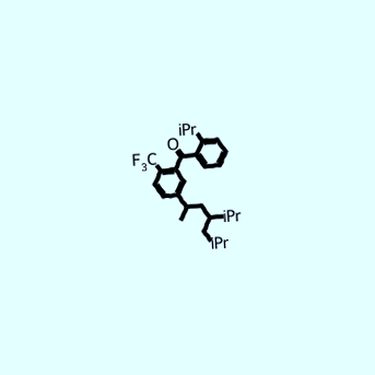 CC(C)CC(CC(C)c1ccc(C(F)(F)F)c(C(=O)c2ccccc2C(C)C)c1)C(C)C